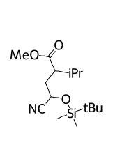 COC(=O)C(CC(C#N)O[Si](C)(C)C(C)(C)C)C(C)C